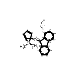 C[Si]1(C)C2=CC=C[C]21[Zr+2][CH]1c2ccccc2-c2ccccc21.[Cl-].[Cl-]